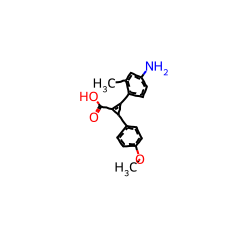 COc1ccc(C2C(C(=O)O)=C2c2ccc(N)cc2C)cc1